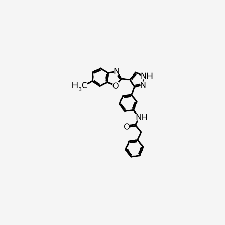 Cc1ccc2nc(-c3c[nH]nc3-c3cccc(NC(=O)Cc4ccccc4)c3)oc2c1